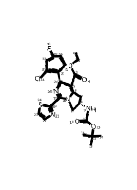 CCOC(=O)C1=C2C[C@H](NC(=O)OC(C)(C)C)CN2C(c2nccs2)=N[C@H]1c1ccc(F)cc1Cl